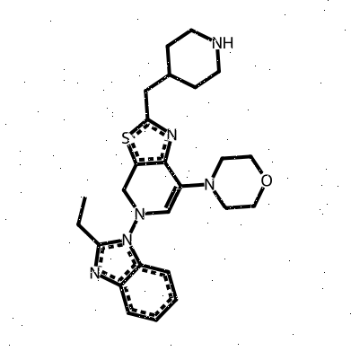 CCc1nc2ccccc2n1N1C=C(N2CCOCC2)c2nc(CC3CCNCC3)sc2C1